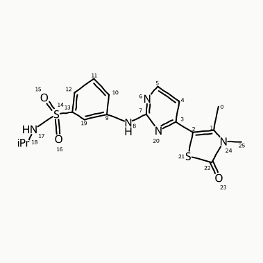 Cc1c(-c2ccnc(Nc3cccc(S(=O)(=O)NC(C)C)c3)n2)sc(=O)n1C